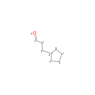 O=CCC[C]1CCCC1